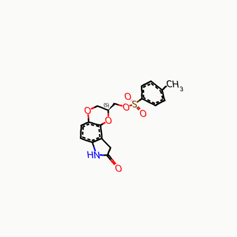 Cc1ccc(S(=O)(=O)OC[C@@H]2COc3ccc4c(c3O2)CC(=O)N4)cc1